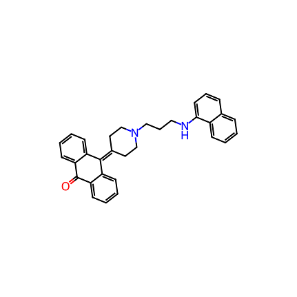 O=C1c2ccccc2C(=C2CCN(CCCNc3cccc4ccccc34)CC2)c2ccccc21